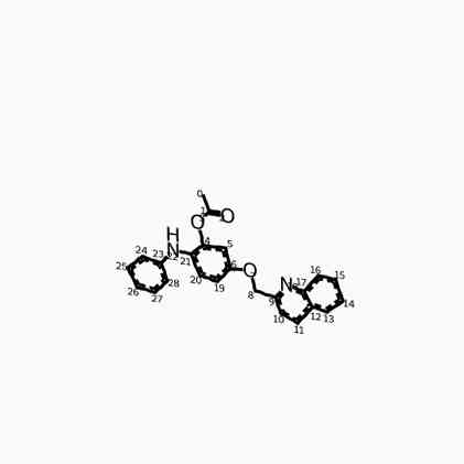 CC(=O)Oc1cc(OCc2ccc3ccccc3n2)ccc1Nc1ccccc1